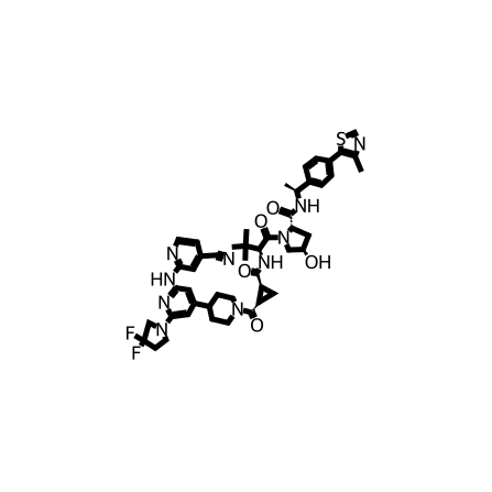 Cc1ncsc1-c1ccc([C@H](C)NC(=O)[C@@H]2C[C@@H](O)CN2C(=O)[C@@H](NC(=O)[C@H]2C[C@@H]2C(=O)N2CCC(c3cc(Nc4cc(C#N)ccn4)nc(N4CCC(F)(F)C4)c3)CC2)C(C)(C)C)cc1